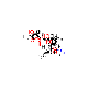 C=C/C=C/[C@@H](C)[C@@H](OC(N)=O)[C@H](C)[C@@H](O)[C@H](C)C/C(C)=C/[C@@H](C)[C@H](O)[C@H](C)/C=C/[C@H](O)C[C@H]1OC(=O)[C@@H](C)[C@H](O)[C@@H]1C